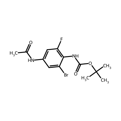 CC(=O)Nc1cc(F)c(NC(=O)OC(C)(C)C)c(Br)c1